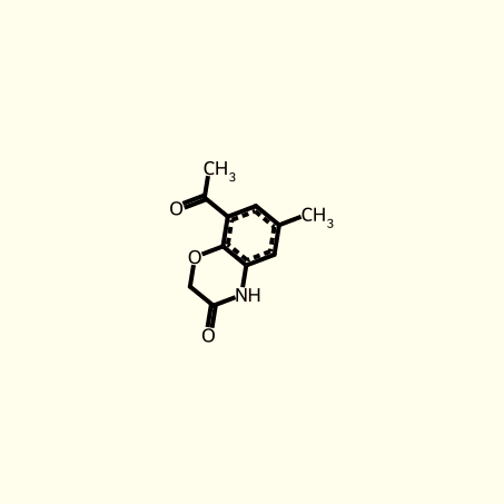 CC(=O)c1cc(C)cc2c1OCC(=O)N2